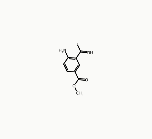 COC(=O)c1ccc(N)c(C(=N)I)c1